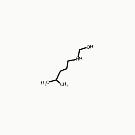 CC(C)CCCNCO